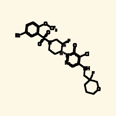 CCc1ccc(OC(F)(F)F)c(S(=O)(=O)N2CC[C@@H](n3ncc(NCC4(F)CCCOC4)c(Cl)c3=O)[C@H](F)C2)c1